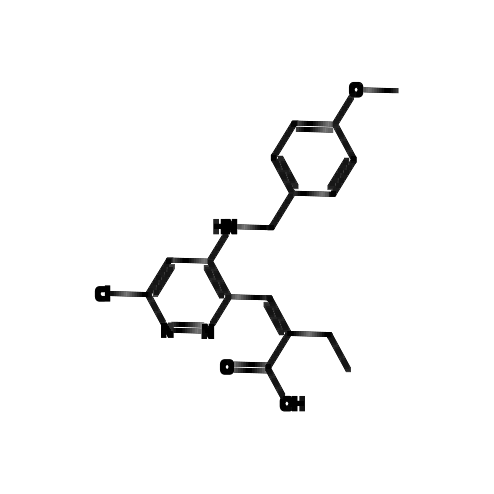 CCC(=Cc1nnc(Cl)cc1NCc1ccc(OC)cc1)C(=O)O